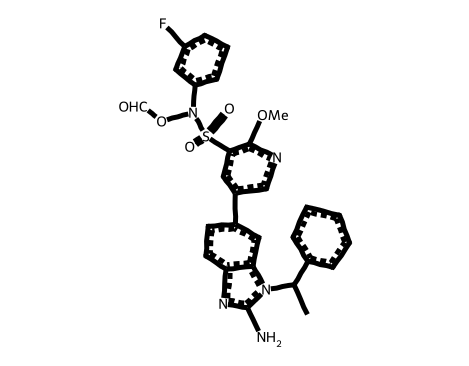 COc1ncc(-c2ccc3nc(N)n(C(C)c4ccccc4)c3c2)cc1S(=O)(=O)N(OC=O)c1cccc(F)c1